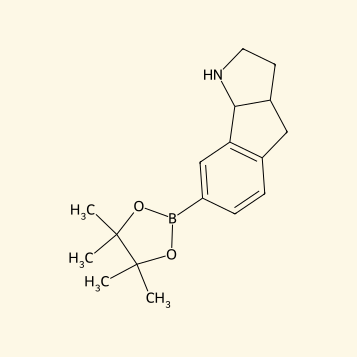 CC1(C)OB(c2ccc3c(c2)C2NCCC2C3)OC1(C)C